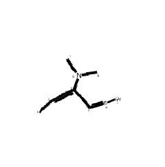 C/C=C(\C=B/C(C)C)N(C)C